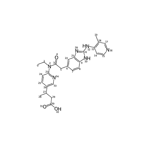 CCN(C(=O)Cc1ccc2[nH]c(Nc3ccncc3C)nc2c1)c1ccc(C(C)CC(=O)O)cn1